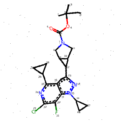 CC(C)(C)OC(=O)N1CC2C(C1)C2c1nn(C2CC2)c2c(F)c(Cl)nc(C3CC3)c12